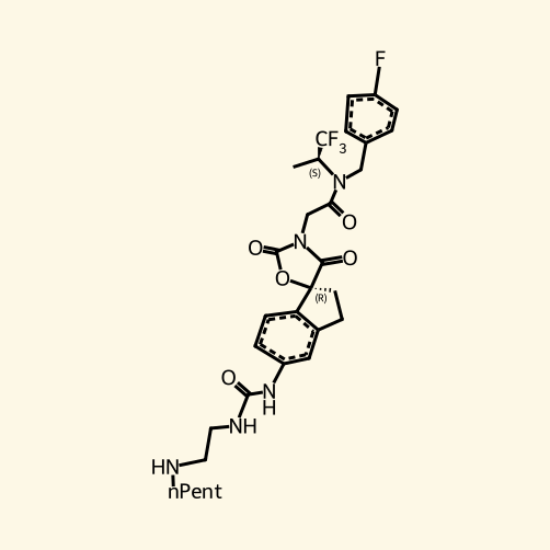 CCCCCNCCNC(=O)Nc1ccc2c(c1)CC[C@@]21OC(=O)N(CC(=O)N(Cc2ccc(F)cc2)[C@@H](C)C(F)(F)F)C1=O